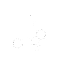 [O-][S+](c1ccccc1)C1CS(O)(O)c2cccc(OCCCO)c21